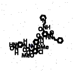 COc1cc(C(=O)C(/N=N/c2ccc(C(=O)Nc3cc(C(=O)NCCC4CCCCC4)cc(C(=O)NCCN4CCCCC4)c3)cc2)C(=O)Nc2ccc3[nH]c(=O)[nH]c3c2)c(OC)cc1Cl